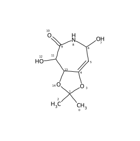 CC1(C)OC2=CC(O)NC(=O)C(O)C2O1